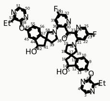 CCc1nccnc1Oc1ccc2c(c1)C(O)CC21CCN(c2cc(F)cnc2C(=O)c2ncc(F)cc2N2CCC3(CC(O)c4cc(Oc5nccnc5CC)ccc43)C2)C1